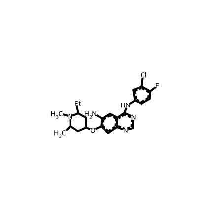 CCC1CC(Oc2cc3ncnc(Nc4ccc(F)c(Cl)c4)c3cc2N)CC(C)N1C